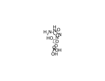 Nc1cc2c(ncn2[C@@H]2O[C@H](OOP(O)CO)C[C@@H]2O)c(=O)[nH]1